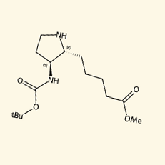 COC(=O)CCCC[C@H]1NCC[C@@H]1NC(=O)OC(C)(C)C